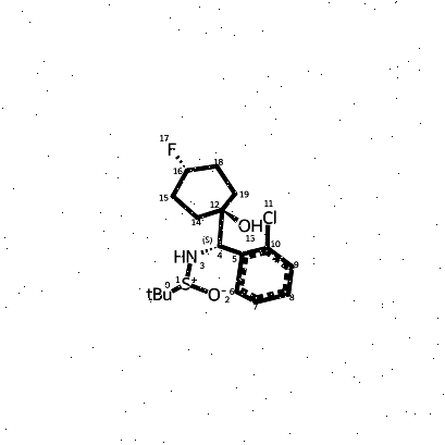 CC(C)(C)[S+]([O-])N[C@@H](c1ccccc1Cl)[C@]1(O)CC[C@H](F)CC1